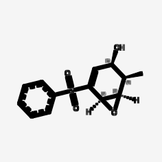 C[C@H]1[C@H]2O[C@H]2C(S(=O)(=O)c2ccccc2)=C[C@H]1O